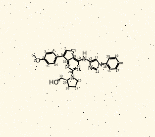 COc1ccc(-c2csc3c(Nc4cn(-c5ccccc5)cn4)nc(N4CCC[C@H]4CO)nc23)cc1